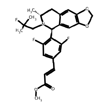 COC(=O)/C=C/c1cc(F)c([C@@H]2c3cc4c(cc3C[C@@H](C)N2CC(C)(C)F)OCO4)c(F)c1